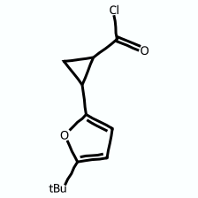 CC(C)(C)c1ccc(C2CC2C(=O)Cl)o1